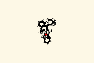 CC(C)(C)OC(=O)N1C2CCCC1CC(NC(=O)c1c3n(c4ccccc14)CCC(F)(F)C3)C2